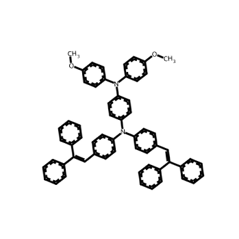 COc1ccc(N(c2ccc(OC)cc2)c2ccc(N(c3ccc(C=C(c4ccccc4)c4ccccc4)cc3)c3ccc(C=C(c4ccccc4)c4ccccc4)cc3)cc2)cc1